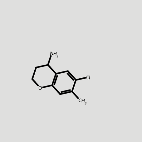 Cc1cc2c(cc1Cl)C(N)CCO2